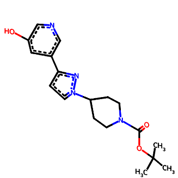 CC(C)(C)OC(=O)N1CCC(n2ccc(-c3cncc(O)c3)n2)CC1